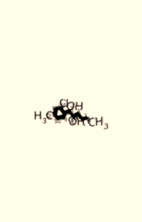 CCCC[C@H](O)[C@@H](O)c1ccc(C)cc1Cl